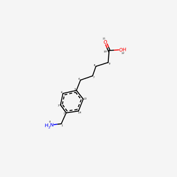 NCc1ccc(CCCCC(=O)O)cc1